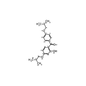 CC(C)COc1[c]cc(C(=O)c2ccc(OCC(C)C)cc2O)cc1